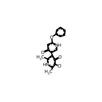 Cc1[nH]c(C)c(-c2c[nH]c(Oc3ccccc3)cc2=O)c(=O)c1Cl